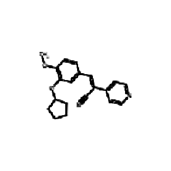 COc1ccc(C=C(C#N)c2ccncc2)cc1OC1CCCC1